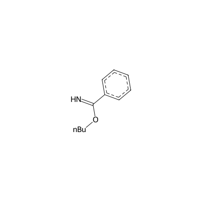 CCCCOC(=N)c1ccccc1